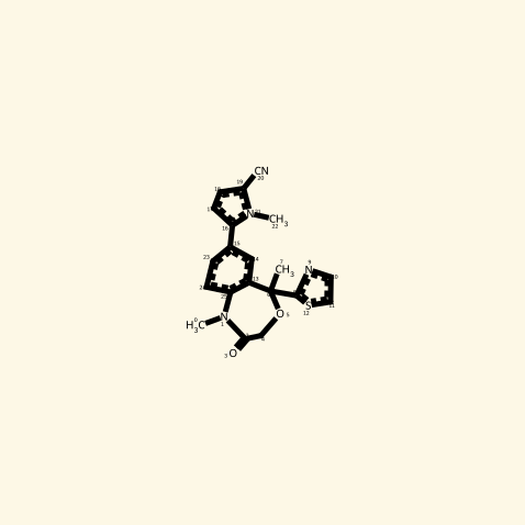 CN1C(=O)COC(C)(c2nccs2)c2cc(-c3ccc(C#N)n3C)ccc21